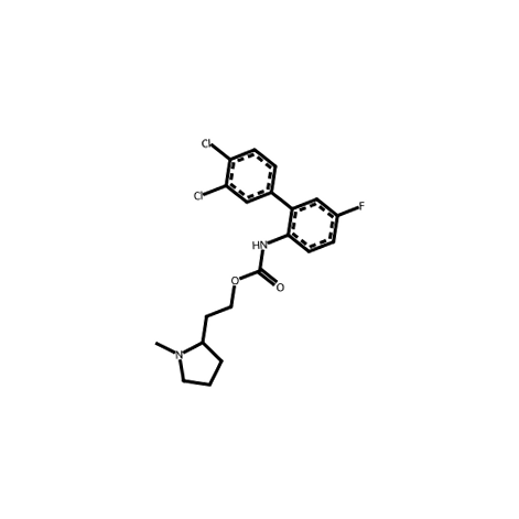 CN1CCCC1CCOC(=O)Nc1ccc(F)cc1-c1ccc(Cl)c(Cl)c1